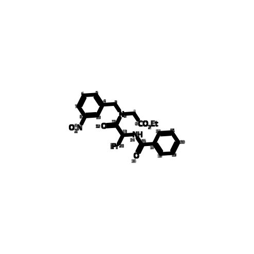 CCOC(=O)CN(Cc1cccc([N+](=O)[O-])c1)C(=O)C(NC(=O)c1ccccc1)C(C)C